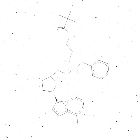 CC(C)(C)C(=O)OCCN[P@](=O)(OC[C@@]1(C)O[C@@H](c2ccc3c(N)ncnn23)[C@H](O)[C@@H]1O)Oc1ccccc1